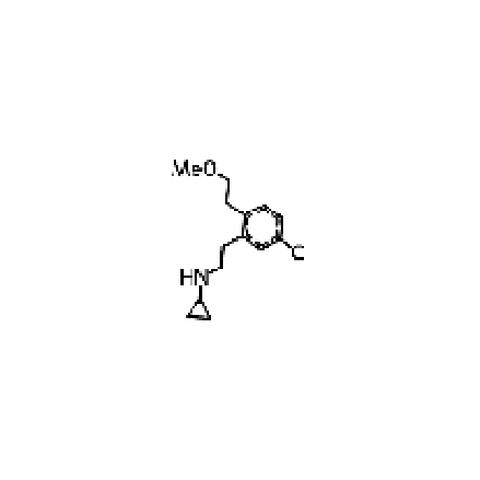 COCCc1ccc(Cl)cc1CCNC1CC1